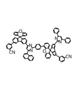 N#Cc1cccc(-c2ccc3c(c2)-c2cc(-c4cc(-c5cccc6ccccc56)nc(-c5ccc(-c6cccc7c6Oc6ccccc6C76c7ccc(-c8cccc(C#N)c8)cc7-c7cc(-c8nc(-c9ccccc9)cc(-c9ccccc9)n8)ccc76)cc5)n4)ccc2C32c3ccccc3Oc3ccccc32)c1